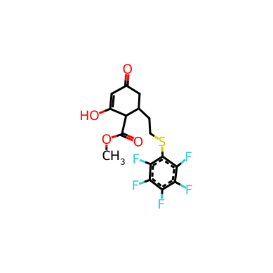 COC(=O)C1C(O)=CC(=O)CC1CCSc1c(F)c(F)c(F)c(F)c1F